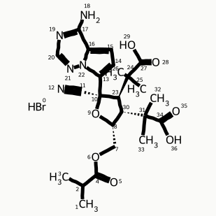 Br.CC(C)C(=O)OC[C@@H]1O[C@@](C#N)(c2ccc3c(N)ncnn23)[C@@H](C(C)(C)C(=O)O)[C@@H]1C(C)(C)C(=O)O